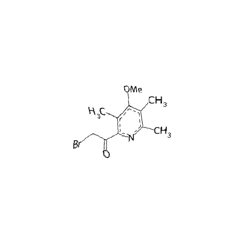 COc1c(C)c(C)nc(C(=O)CBr)c1C